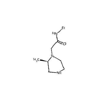 CCNC(=O)CN1CCNC[C@H]1C